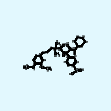 COc1ccc(CCCC(C)(C)C(=O)NC(C(=O)NC2CCCCC2)c2ccc([N+](=O)[O-])cc2)cc1OC